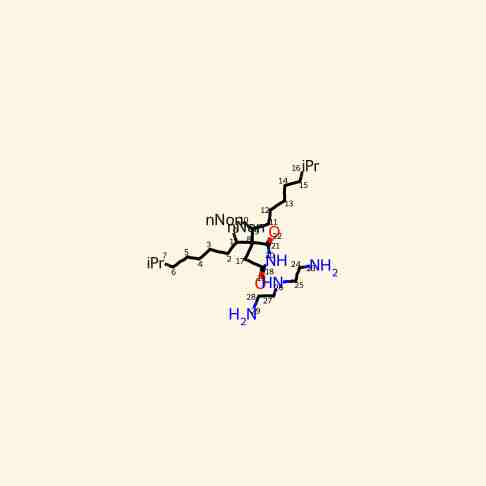 CCCCCCCCCC(CCCCCC(C)C)C1(C(CCCCCCCCC)CCCCCC(C)C)CC(=O)NC1=O.NCCNCCN